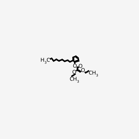 CCCCCCCCCc1ccccc1OC(=O)/C(=C\OCCC)OCCC